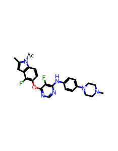 CC(=O)n1c(C)cc2c(F)c(Oc3ncnc(Nc4ccc(N5CCN(C)CC5)cc4)c3F)ccc21